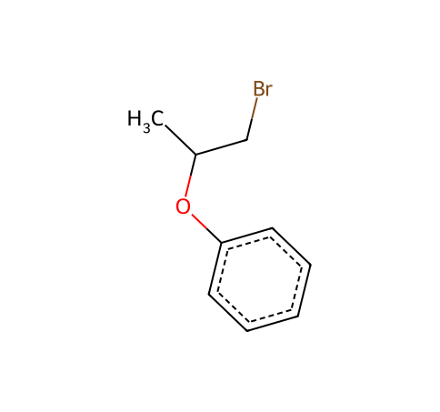 CC(CBr)Oc1ccccc1